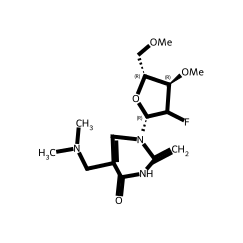 C=C1NC(=O)C(CN(C)C)=CN1[C@@H]1O[C@H](COC)[C@@H](OC)C1F